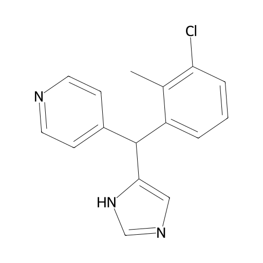 Cc1c(Cl)cccc1C(c1ccncc1)c1cnc[nH]1